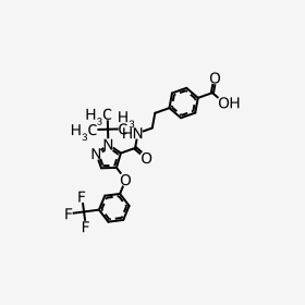 CC(C)(C)n1ncc(Oc2cccc(C(F)(F)F)c2)c1C(=O)NCCc1ccc(C(=O)O)cc1